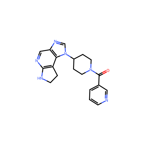 O=C(c1cccnc1)N1CCC(n2cnc3cnc4c(c32)CCN4)CC1